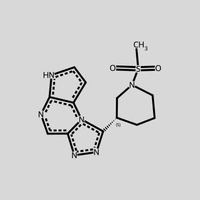 CS(=O)(=O)N1CCC[C@H](c2nnc3cnc4[nH]ccc4n23)C1